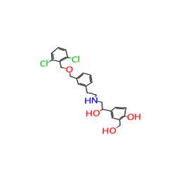 OCc1cc([C@@H](O)CNCCc2cccc(COCc3c(Cl)cccc3Cl)c2)ccc1O